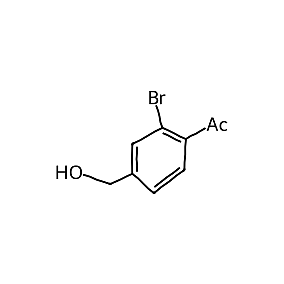 CC(=O)c1ccc(CO)cc1Br